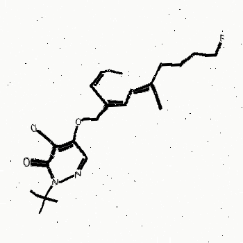 C\C=C/C(=C\C=C(/C)CCCCF)COc1cnn(C(C)(C)C)c(=O)c1Cl